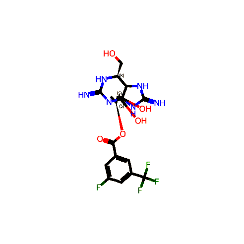 N=C1NC2[C@H](CO)NC(=N)N3C[C@H](OC(=O)c4cc(F)cc(C(F)(F)F)c4)C(O)(O)[C@]23N1